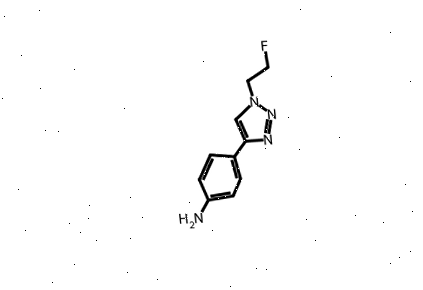 Nc1ccc(-c2cn(CCF)nn2)cc1